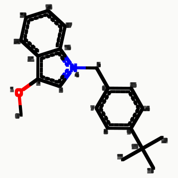 COc1cn(Cc2ccc(C(C)(C)C)cc2)c2ccccc12